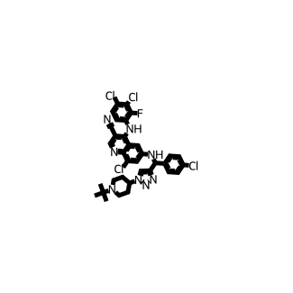 CC(C)(C)N1CCC(n2cc(C(Nc3cc(Cl)c4ncc(C#N)c(Nc5ccc(Cl)c(Cl)c5F)c4c3)c3ccc(Cl)cc3)nn2)CC1